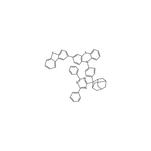 c1ccc(-c2nc(-c3ccccc3)nc(C3(c4ccc(N5c6ccccc6Sc6cc(-c7ccc8sc9ccccc9c8c7)ccc65)cc4)C4CC5CC(C4)CC3C5)n2)cc1